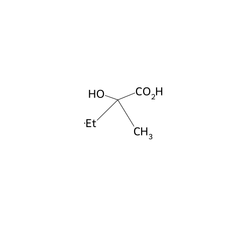 C[CH]C(C)(O)C(=O)O